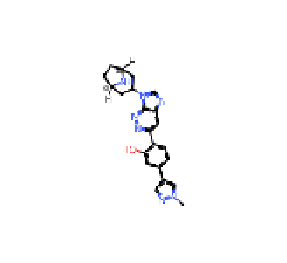 Cn1cc(-c2ccc(-c3cc4ncn(C5C[C@H]6CC[C@@H](C5)N6)c4nn3)c(O)c2)cn1